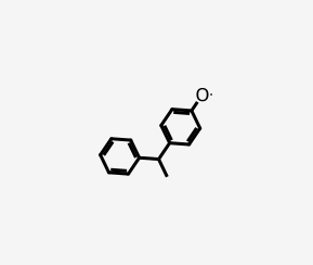 CC(c1ccccc1)c1ccc([O])cc1